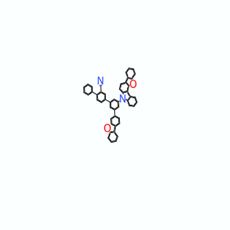 N#Cc1cc(-c2cc(-c3ccc4c(c3)oc3ccccc34)cc(-n3c4ccccc4c4c5oc6ccccc6c5ccc43)c2)ccc1-c1ccccc1